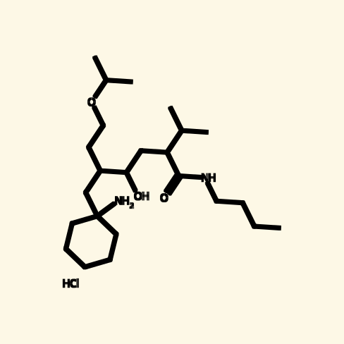 CCCCNC(=O)C(CC(O)C(CCOC(C)C)CC1(N)CCCCC1)C(C)C.Cl